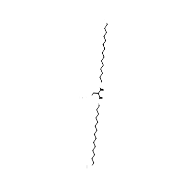 CCCCCCCCCCCC(C(=O)OCCCCCCCCCCCCCCCC(C)C)C(=O)OCCCCCCCCCCCCCCCC(C)C